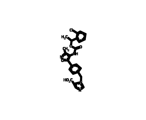 Cc1noc(-c2ccc(Cn3cncc3C(=O)O)cc2)c1NC(=O)OC(C)c1ccccc1Cl